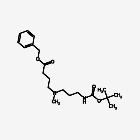 CN(CCCNC(=O)OC(C)(C)C)CCCC(=O)OCc1ccccc1